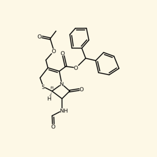 CC(=O)OCC1=C(C(=O)OC(c2ccccc2)c2ccccc2)N2C(=O)C(NC=O)[C@H]2SC1